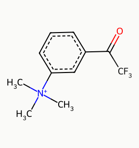 C[N+](C)(C)c1cccc(C(=O)C(F)(F)F)c1